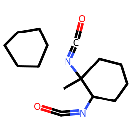 C1CCCCC1.CC1(N=C=O)CCCCC1N=C=O